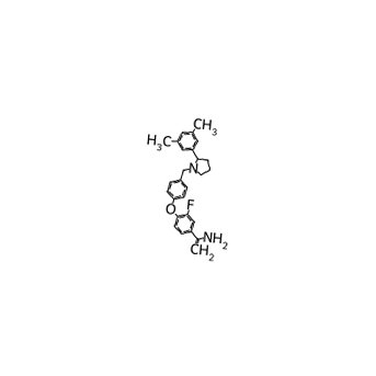 C=C(N)c1ccc(Oc2ccc(CN3CCCC3c3cc(C)cc(C)c3)cc2)c(F)c1